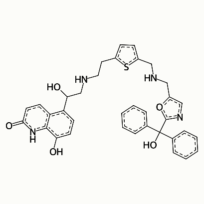 O=c1ccc2c(C(O)CNCCc3ccc(CNCc4cnc(C(O)(c5ccccc5)c5ccccc5)o4)s3)ccc(O)c2[nH]1